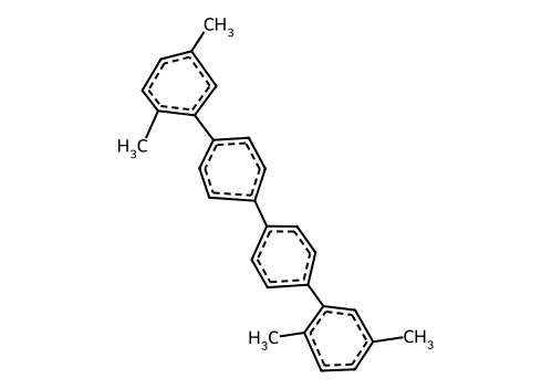 Cc1ccc(C)c(-c2ccc(-c3ccc(-c4cc(C)ccc4C)cc3)cc2)c1